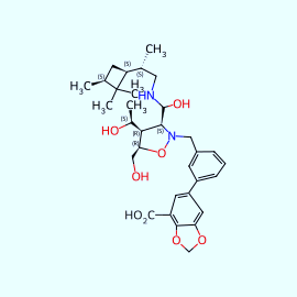 C[C@H](O)[C@@H]1[C@H](CO)ON(Cc2cccc(-c3cc4c(c(C(=O)O)c3)OCO4)c2)[C@@H]1C(O)NC[C@@H](C)[C@@H]1C[C@H](C)C1(C)C